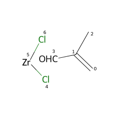 C=C(C)C=O.[Cl][Zr][Cl]